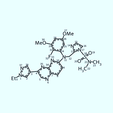 CCn1cc(-c2cnc3ccc(N(Cc4nccn4S(=O)(=O)N(C)C)c4cc(OC)cc(OC)c4F)nc3n2)cn1